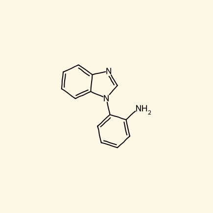 Nc1ccccc1-n1cnc2ccccc21